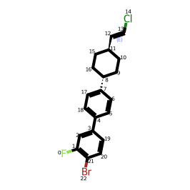 Fc1cc(-c2ccc([C@H]3CC[C@H](/C=C/Cl)CC3)cc2)ccc1Br